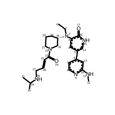 CCN(c1cc(-c2ccnc(NC)c2)c[nH]c1=O)[C@H]1CCCN(C(=O)/C=C/CNC(C)C)C1